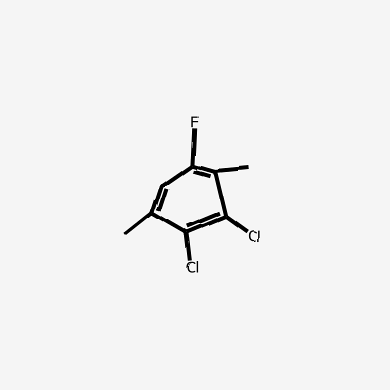 Cc1cc(F)c(C)c(Cl)c1Cl